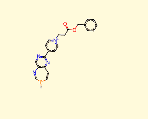 CP1C=Cc2nc(-c3cc[n+](CCC(=O)OCc4ccccc4)cc3)ncc2N=C1